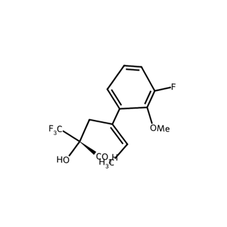 CC=C(C[C@@](O)(C(=O)O)C(F)(F)F)c1cccc(F)c1OC